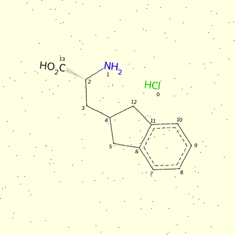 Cl.N[C@H](CC1Cc2ccccc2C1)C(=O)O